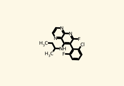 CCC(C)Nc1c(-c2c(F)cccc2Cl)c(F)nc2nccnc12